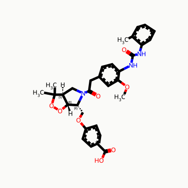 COc1cc(CC(=O)N2C[C@H]3[C@@H](OOC3(C)C)[C@H]2COc2ccc(C(=O)O)cc2)ccc1NC(=O)Nc1ccccc1C